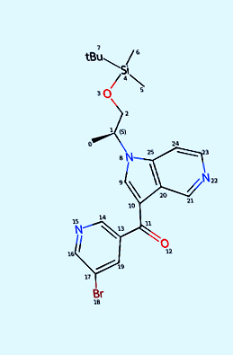 C[C@@H](CO[Si](C)(C)C(C)(C)C)n1cc(C(=O)c2cncc(Br)c2)c2cnccc21